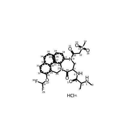 CNC(C)C(=O)NC1CN(C(=O)CS(C)(=O)=O)c2ccccc2N(Cc2c(OC(F)F)ccc3ccccc23)C1=O.Cl